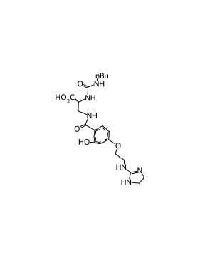 CCCCNC(=O)N[C@@H](CNC(=O)c1ccc(OCCNC2=NCCN2)cc1O)C(=O)O